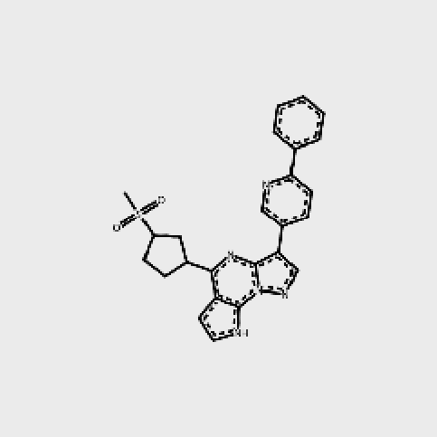 CS(=O)(=O)C1CCC(c2nc3c(-c4ccc(-c5ccccc5)nc4)cnn3c3[nH]ccc23)C1